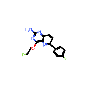 Nc1nc(OCCF)c2nc(-c3ccc(F)cc3)ccc2n1